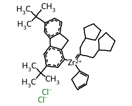 CC(C)(C)c1ccc2c(c1)-c1cc(C(C)(C)C)c[c]([Zr+2]([C]3=CC=CC3)=[C](CC3CCCC3)CC3CCCC3)c1C2.[Cl-].[Cl-]